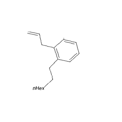 C=CCc1[c]cccc1CCCCCCCC